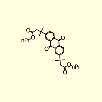 CCCOC(=O)CC(C)(C)c1ccc2c(c1)C(=O)c1cc(C(C)(C)CC(=O)OCCC)ccc1C2=O